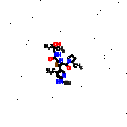 Cc1cc(NC(C)(C)C)ncc1-c1sc(C(=O)NCC(C)(C)O)nc1C(=O)N1CCC[C@@H]1C